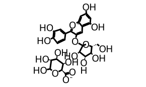 O=C([O-])[C@H]1OC(O)[C@H](O)[C@@H](O)[C@@H]1O.OC[C@H]1OC(Oc2cc3c(O)cc(O)cc3[o+]c2-c2ccc(O)c(O)c2)[C@H](O)[C@@H](O)[C@@H]1O